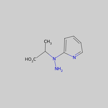 CC(C(=O)O)N(N)c1ccccn1